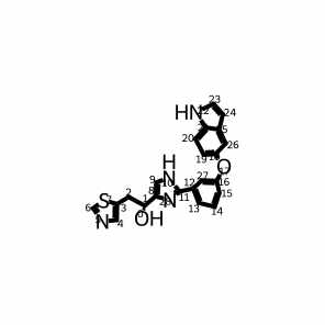 O[C@@H](Cc1cncs1)c1c[nH]c(-c2cccc(Oc3ccc4[nH]ccc4c3)c2)n1